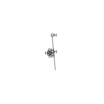 CCCCCCCCCCCCCCCCCCCCCCCCCCCCCCCCCCO.O=C(O)CC(O)(CC(=O)O)C(=O)O